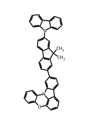 CC1(C)c2cc(-c3ccc4c5cccc6c5n(c4c3)-c3ccccc3O6)ccc2-c2ccc(-n3c4ccccc4c4ccccc43)cc21